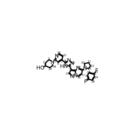 OC1CCN(c2cc(-c3nnc(-c4cnn5ccc(N6CCC[C@@H]6c6cc(F)ccc6F)nc45)[nH]3)ccn2)CC1